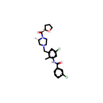 Cc1c(CN2CCN(C(=O)[C@H]3CCCO3)[C@@H](C)C2)cc(Cl)cc1NC(=O)c1cccc(Cl)c1